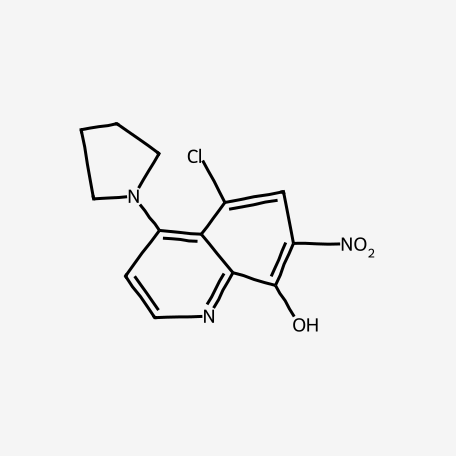 O=[N+]([O-])c1cc(Cl)c2c(N3CCCC3)ccnc2c1O